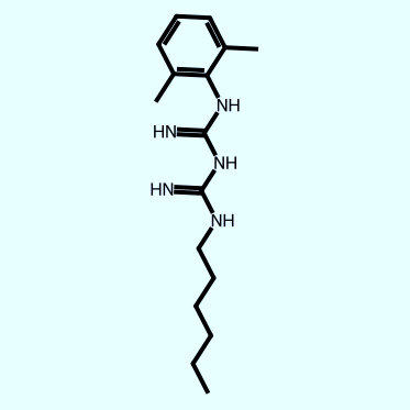 CCCCCCNC(=N)NC(=N)Nc1c(C)cccc1C